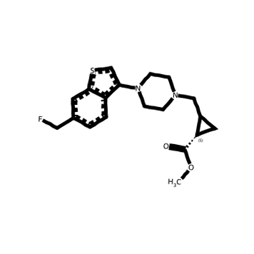 COC(=O)[C@H]1CC1CN1CCN(c2csc3cc(CF)ccc23)CC1